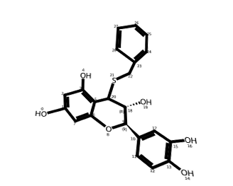 Oc1cc(O)c2c(c1)O[C@H](c1ccc(O)c(O)c1)[C@@H](O)C2SCc1ccccc1